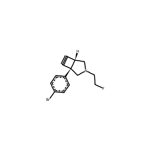 FCCN1C[C@H]2C#C[C@@]2(c2ccc(Br)cc2)C1